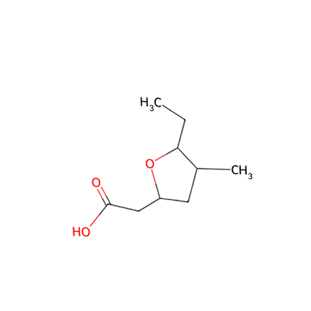 CCC1OC(CC(=O)O)CC1C